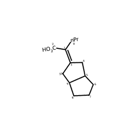 CCCC(C(=O)O)=C1CC2CCCC2C1